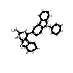 CC(C)(C)c1nc(-c2ccc3c(c2)c2ccccc2n3-c2ccccc2)c2c(n1)oc1ccccc12